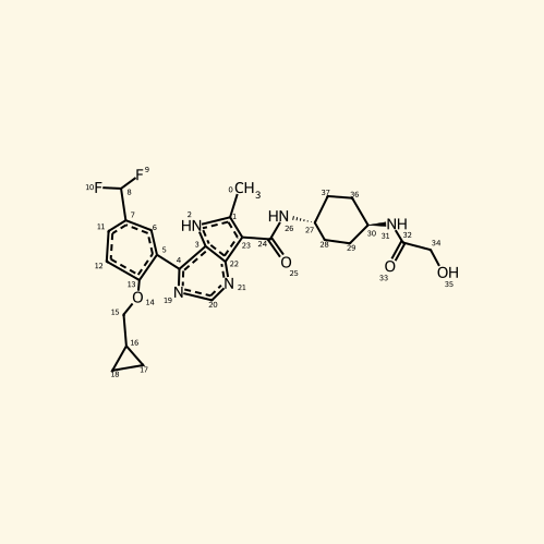 Cc1[nH]c2c(-c3cc(C(F)F)ccc3OCC3CC3)ncnc2c1C(=O)N[C@H]1CC[C@H](NC(=O)CO)CC1